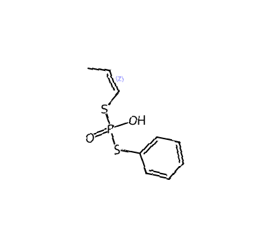 C/C=C\SP(=O)(O)Sc1ccccc1